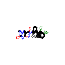 COc1c(NC(=O)c2cn(C)c(=O)n(C)c2=O)cccc1-c1cccc(Br)c1Cl